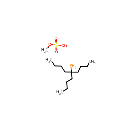 CCCCC(P)(CCCC)CCCC.COS(=O)(=O)O